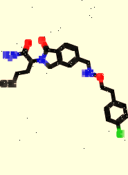 NC(=O)C(CCC=O)N1Cc2cc(CNOCCc3ccc(Cl)cc3)ccc2C1=O